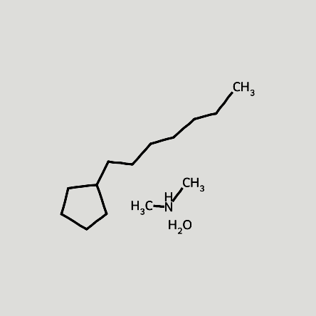 CCCCCCCC1CCCC1.CNC.O